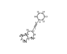 C(#Cc1cnc2ncnn2c1)c1ccccc1